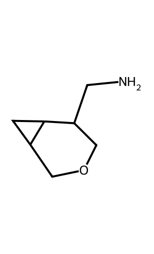 NCC1COCC2CC12